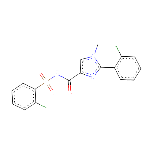 Cn1cc(C(=O)NS(=O)(=O)c2ccccc2F)nc1-c1ccccc1Cl